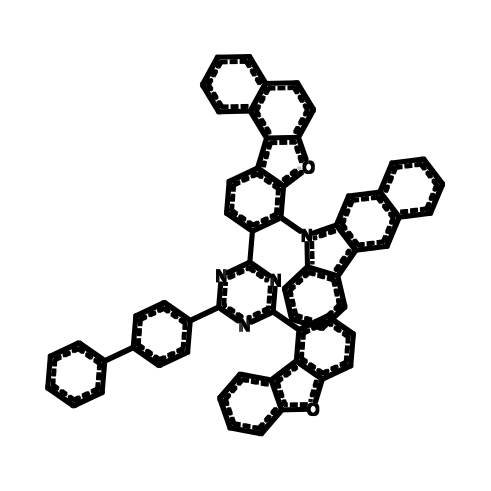 c1ccc(-c2ccc(-c3nc(-c4ccc5c(oc6ccc7ccccc7c65)c4-n4c5ccccc5c5cc6ccccc6cc54)nc(-c4cccc5oc6ccccc6c45)n3)cc2)cc1